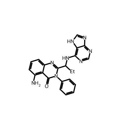 CCC(Nc1ncnc2nc[nH]c12)c1nc2cccc(N)c2c(=O)n1-c1ccccc1